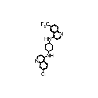 FC(F)(F)c1ccc2nccc(NC3CCC(Nc4ccnc5cc(Cl)ccc45)CC3)c2c1